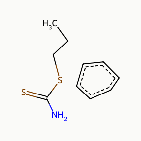 CCCSC(N)=S.c1ccccc1